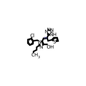 CCCCc1nc(CO)c(/C=C(\Cc2cccs2)c2nnn[nH]2)n1Cc1ccccc1Cl